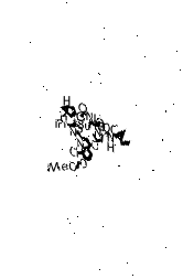 C=C[C@@H]1C[C@]1(NC(=O)[C@@H]1C[C@@H](Oc2cc(-c3nc(C(C)C)cs3)nc3c(Cl)c(OCCOC)ccc23)CN1C(=O)C(NC(=O)O[C@@H]1C[C@@H]2C[C@@H]2C1)C(C)(C)C)C(=O)O